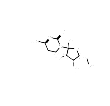 NC1=NC(=O)N([C@]2(O)O[C@H](CO)[C@@H](O)[C@H]2O)CC1